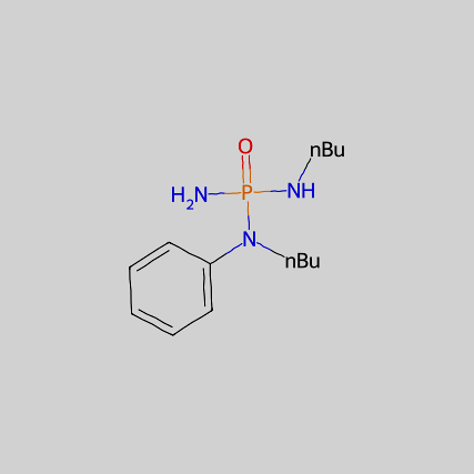 CCCCNP(N)(=O)N(CCCC)c1ccccc1